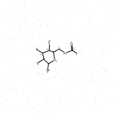 CC(=O)OCC1OC(Br)C(C)C(C)C1F